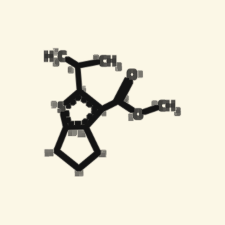 COC(=O)c1c(C(C)C)sc2c1CCC2